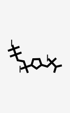 CC(C)C(C)(I)CC1CCC(C(C)(I)CCC(C)(C)C(C)(C)I)C1